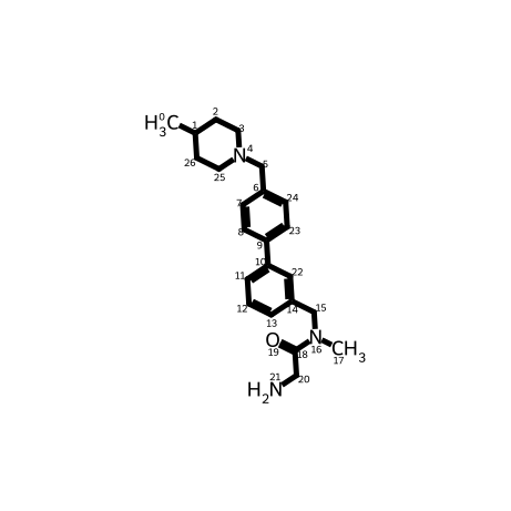 CC1CCN(Cc2ccc(-c3cccc(CN(C)C(=O)CN)c3)cc2)CC1